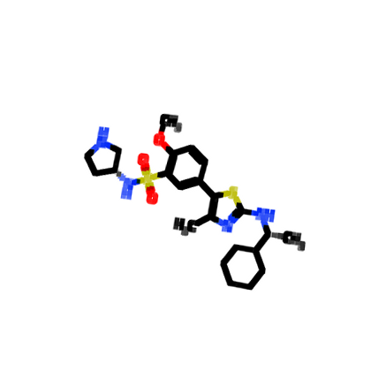 COc1ccc(-c2sc(N[C@H](C)C3CCCCC3)nc2C)cc1S(=O)(=O)N[C@@H]1CCNC1